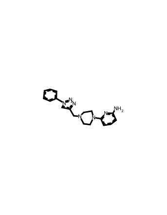 Nc1cccc(N2CCN(Cc3cn(-c4ccccc4)nn3)CC2)n1